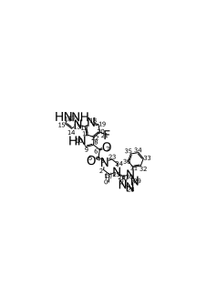 C[C@H]1CN(C(=O)C(=O)c2c[nH]c3c(N4C=CNN4)ncc(F)c23)CCN1c1nnnn1-c1ccccc1